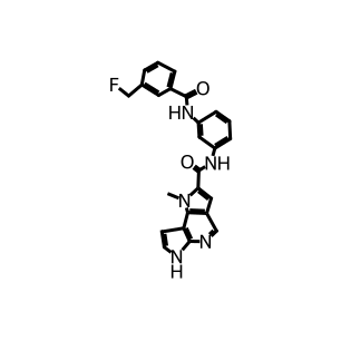 Cn1c(C(=O)Nc2cccc(NC(=O)c3cccc(CF)c3)c2)cc2cnc3[nH]ccc3c21